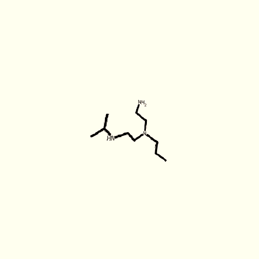 CCCN(CCN)CCNC(C)C